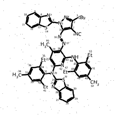 [C-]#[N+]c1c(C(C)(C)C)nn(-c2nc3ccccc3s2)c1/N=N/c1c(C)cc(N(c2nc3ccccc3s2)c2c(CC)cc(C)cc2CC)nc1Nc1c(CC)cc(C)cc1CC